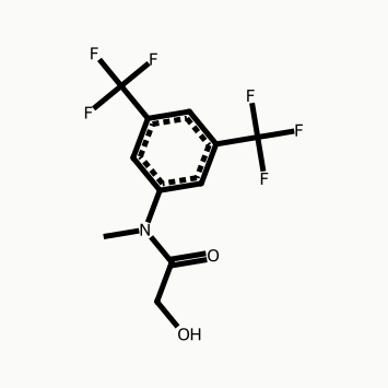 CN(C(=O)CO)c1cc(C(F)(F)F)cc(C(F)(F)F)c1